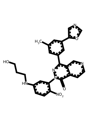 Cc1cc(-c2cnco2)cc(-c2nn(-c3cc(NCCCO)ccc3[N+](=O)[O-])c(=O)c3ccncc23)c1